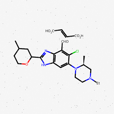 CCN1CCN(c2cc3[nH]c(C4CC(C)CCO4)nc3c(C=O)c2Cl)[C@@H](C)C1.O=C(O)/C=C/C(=O)O